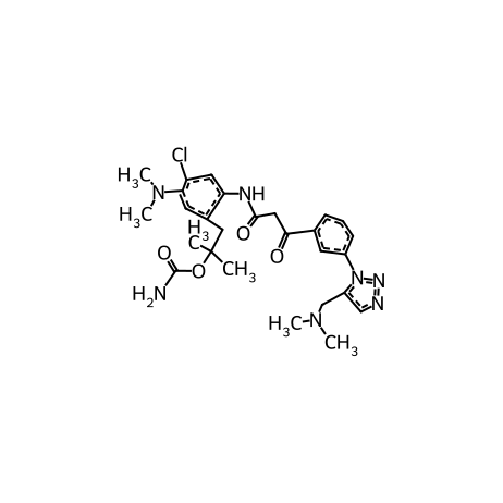 CN(C)Cc1cnnn1-c1cccc(C(=O)CC(=O)Nc2cc(Cl)c(N(C)C)cc2CC(C)(C)OC(N)=O)c1